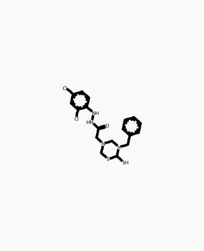 O=C(CN1CSC(S)N(Cc2ccccc2)C1)NNc1ccc(Cl)cc1Cl